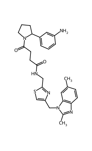 Cc1ccc2nc(C)n(Cc3csc(CNC(=O)CCC(=O)N4CCCC4c4cccc(N)c4)n3)c2c1